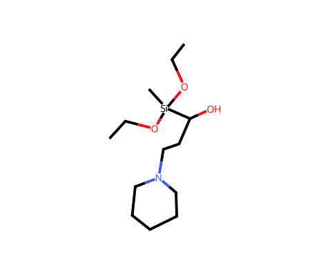 CCO[Si](C)(OCC)C(O)CCN1CCCCC1